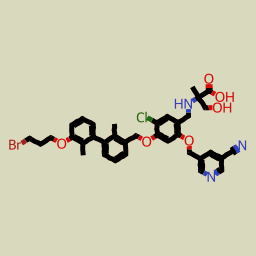 Cc1c(COc2cc(OCc3cncc(C#N)c3)c(CNC(C)(CO)C(=O)O)cc2Cl)cccc1-c1cccc(OCCCBr)c1C